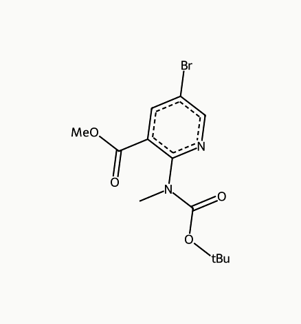 COC(=O)c1cc(Br)cnc1N(C)C(=O)OC(C)(C)C